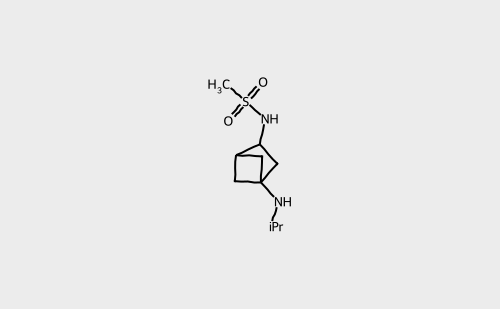 CC(C)NC12CC(C1)C(NS(C)(=O)=O)C2